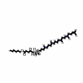 CCCCCCOC(=O)CCC(=O)CNP(=O)(O)OCCC/C(C)=C/CC/C(C)=C/CC/C=C(\C)CC/C=C(\C)CCC=C(C)C